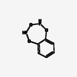 c1ccc2c(c1)OPOPO2